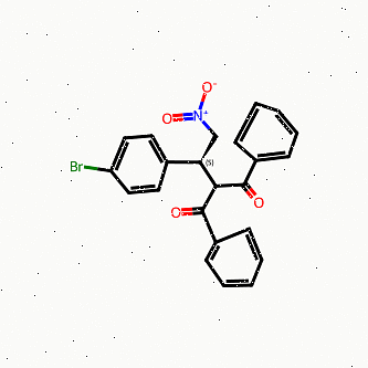 O=C(c1ccccc1)C(C(=O)c1ccccc1)[C@H](C[N+](=O)[O-])c1ccc(Br)cc1